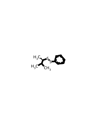 CC(C)[C@@H](C)SSc1ccccc1